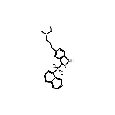 CCN(C)CCCc1ccc2[nH]nc(S(=O)(=O)c3cccc4ccccc34)c2c1